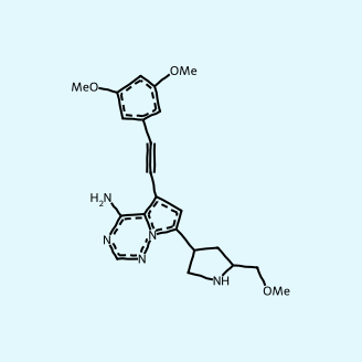 COCC1CC(c2cc(C#Cc3cc(OC)cc(OC)c3)c3c(N)ncnn23)CN1